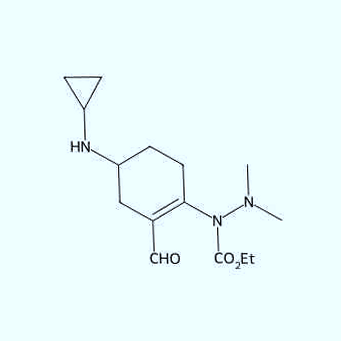 CCOC(=O)N(C1=C(C=O)CC(NC2CC2)CC1)N(C)C